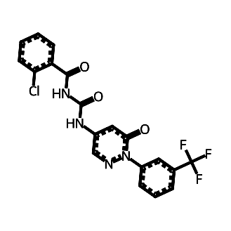 O=C(NC(=O)c1ccccc1Cl)Nc1cnn(-c2cccc(C(F)(F)F)c2)c(=O)c1